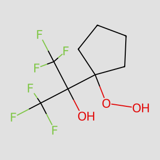 OOC1(C(O)(C(F)(F)F)C(F)(F)F)CCCC1